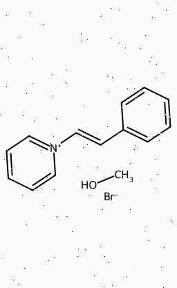 C(=C[n+]1ccccc1)c1ccccc1.CO.[Br-]